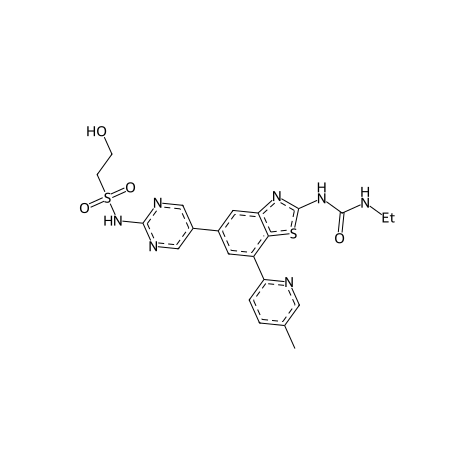 CCNC(=O)Nc1nc2cc(-c3cnc(NS(=O)(=O)CCO)nc3)cc(-c3ccc(C)cn3)c2s1